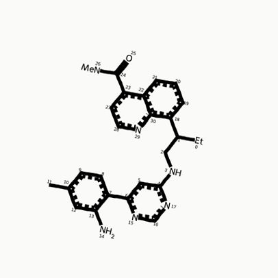 CCC(CNc1cc(-c2ccc(C)cc2N)ncn1)c1cccc2c(C(=O)NC)ccnc12